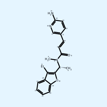 CCc1c([C@@H](C)N(C)C(=O)/C=C/c2ccc(N)nc2)oc2ccccc12